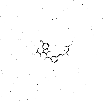 CC(C)C[Si](C)(C)OCc1ccnc(C(=O)c2[nH]c3ccc(Cl)cc3c2C(C)C(=O)O)c1